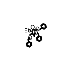 CCN(C(=O)COCc1ccccc1)C(COCc1ccccc1)C(C)OCc1ccccc1